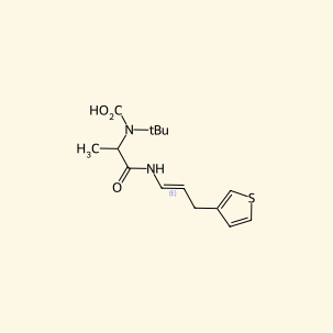 CC(C(=O)N/C=C/Cc1ccsc1)N(C(=O)O)C(C)(C)C